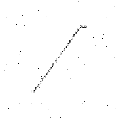 B=BB=BB=BB=BB=BB=BB=BB=BB=BB=BB=BOC